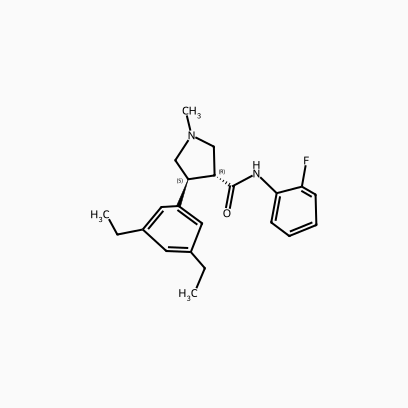 CCc1cc(CC)cc([C@H]2CN(C)C[C@@H]2C(=O)Nc2ccccc2F)c1